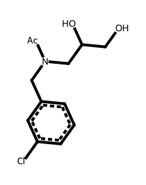 CC(=O)N(Cc1cccc(Cl)c1)CC(O)CO